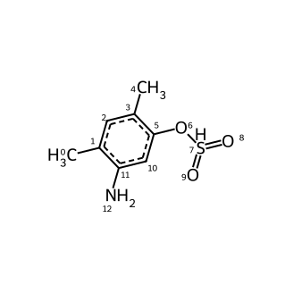 Cc1cc(C)c(O[SH](=O)=O)cc1N